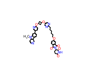 Cn1c2ccncc2c2ccc(-c3ccc(O[C@H]4C[C@H](Oc5cnc(CCCCCCOc6ccc7c(c6)C(=O)N(C6CCC(=O)NC6=O)C7=O)nc5)C4)nc3)cc21